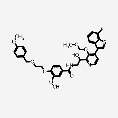 COCOc1c(-c2csc3c(F)cccc23)ccnc1C(O)CNC(=O)c1ccc(OCCOCc2ccc(OC)cc2)c(OC)c1